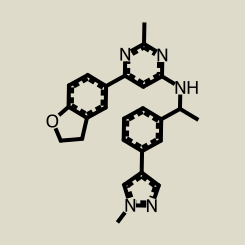 Cc1nc(NC(C)c2cccc(-c3cnn(C)c3)c2)cc(-c2ccc3c(c2)CCO3)n1